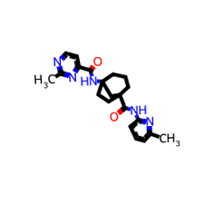 Cc1cccc(NC(=O)C23CCCC(NC(=O)c4ccnc(C)n4)(CC2)C3)n1